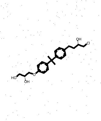 CC(C)(c1ccc(CC[C@H](O)CCl)cc1)c1ccc(OC[C@H](O)CO)cc1